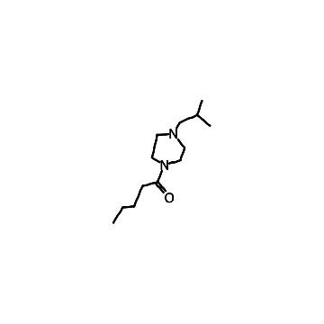 CCCCC(=O)N1CCN(CC(C)C)CC1